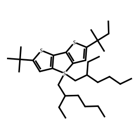 CCCCC(CC)CS1(CC(CC)CCCC)c2cc(C(C)(C)C)sc2-c2sc(C(C)(C)CC)cc21